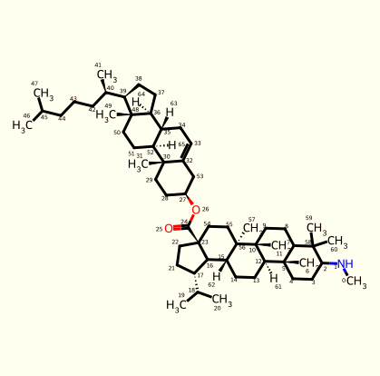 CNC1CC[C@@]2(C)C(CC[C@]3(C)[C@@H]2CC[C@@H]2C4[C@H](C(C)C)CC[C@]4(C(=O)O[C@H]4CC[C@@]5(C)C(=CC[C@H]6[C@@H]7CC[C@H]([C@H](C)CCCC(C)C)[C@@]7(C)CC[C@@H]65)C4)CC[C@]23C)C1(C)C